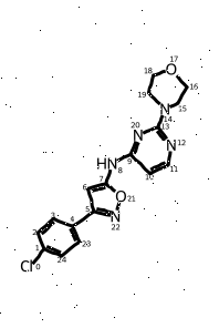 Clc1ccc(-c2cc(Nc3ccnc(N4CCOCC4)n3)on2)cc1